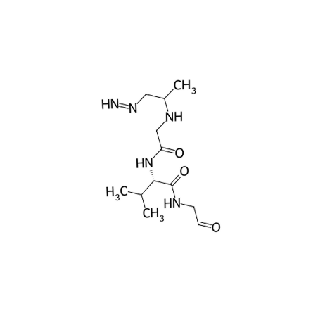 CC(CN=N)NCC(=O)N[C@H](C(=O)NCC=O)C(C)C